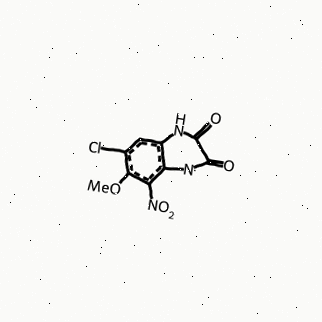 COc1c(Cl)cc2c(c1[N+](=O)[O-])[N]C(=O)C(=O)N2